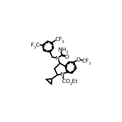 CCOC(=O)N1c2ccc(OC(F)(F)F)cc2C(N(Cc2cc(C(F)(F)F)cc(C(F)(F)F)c2)C(N)=O)CC1C1CC1